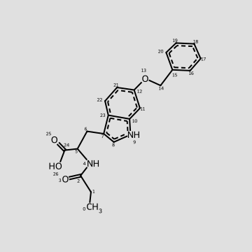 CCC(=O)NC(Cc1c[nH]c2cc(OCc3ccccc3)ccc12)C(=O)O